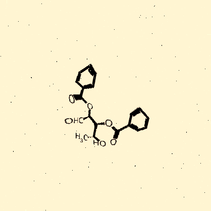 C[C@@H](O)[C@H](OC(=O)c1ccccc1)[C@@H](C=O)OC(=O)c1ccccc1